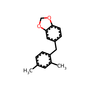 Cc1ccc(Cc2ccc3c(c2)OCO3)c(C)c1